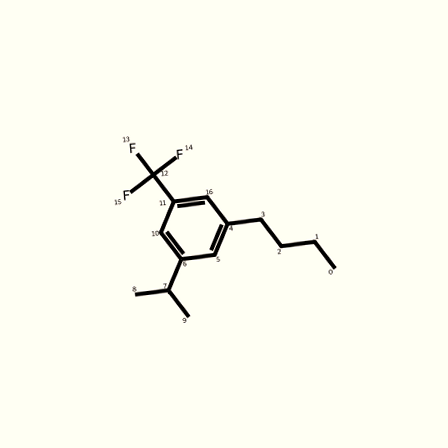 CCCCc1cc([C](C)C)cc(C(F)(F)F)c1